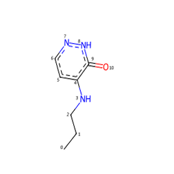 CCCNc1ccn[nH]c1=O